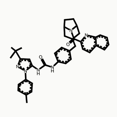 Cc1ccc(-n2nc(C(C)(C)C)cc2NC(=O)Nc2ccc(CC3CC4CCC(C3)N4C(=O)c3ccc4ccccc4n3)cc2)cc1